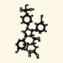 Cc1ccc(C2=NC(c3ccc(S(C)(=O)=O)cc3)C(c3cccc(F)c3)N2C(=O)N2CCNC(=O)C2)cc1